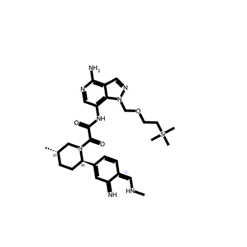 CN/C=C1/C=CC([C@H]2CC[C@H](C)CN2C(=O)C(=O)Nc2cnc(N)c3cnn(COCC[Si](C)(C)C)c23)=CC1=N